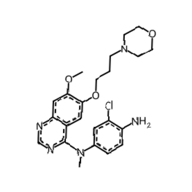 COc1cc2ncnc(N(C)c3ccc(N)c(Cl)c3)c2cc1OCCCN1CCOCC1